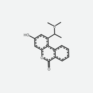 CC(c1cc(O)cc2oc(=O)c3ccccc3c12)N(C)C